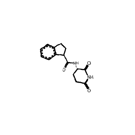 O=C1CC[C@H](NC(=O)C2CCc3ccccc32)C(=O)N1